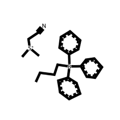 CCCC[B-](c1ccccc1)(c1ccccc1)c1ccccc1.C[S+](C)CC#N